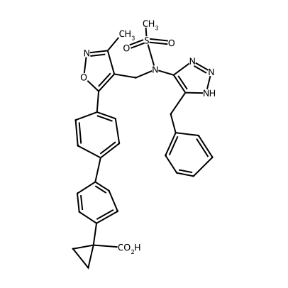 Cc1noc(-c2ccc(-c3ccc(C4(C(=O)O)CC4)cc3)cc2)c1CN(c1nn[nH]c1Cc1ccccc1)S(C)(=O)=O